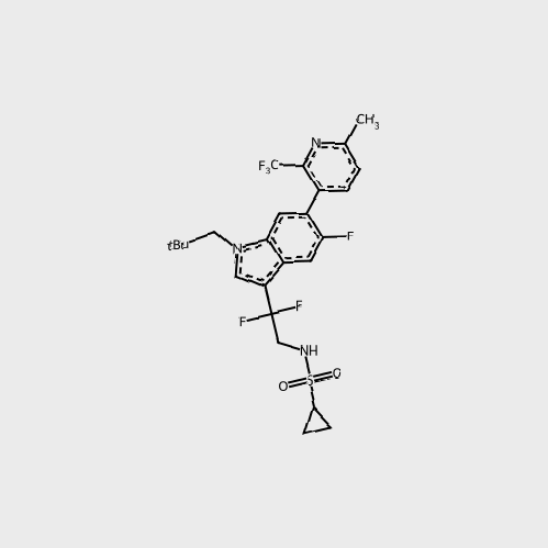 Cc1ccc(-c2cc3c(cc2F)c(C(F)(F)CNS(=O)(=O)C2CC2)cn3CC(C)(C)C)c(C(F)(F)F)n1